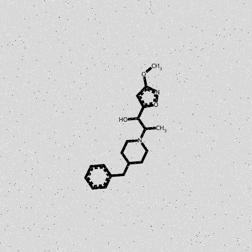 COc1cc(C(O)C(C)N2CCC(Cc3ccccc3)CC2)on1